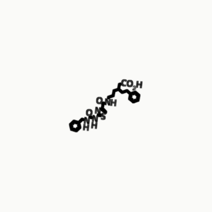 O=C(O)CC(CCCNC(=O)c1csc(NC(=O)NCc2ccccc2)n1)CCc1ccccc1